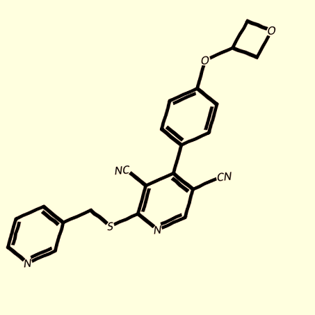 N#Cc1cnc(SCc2cccnc2)c(C#N)c1-c1ccc(OC2COC2)cc1